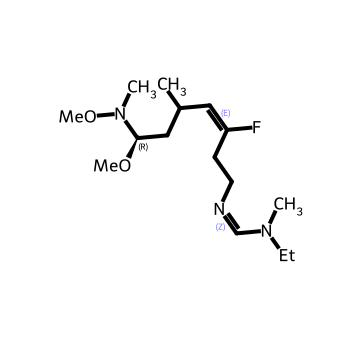 CCN(C)/C=N\CC/C(F)=C\C(C)C[C@@H](OC)N(C)OC